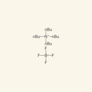 CCCC[N+](CCCC)(CCCC)CCCC.F[B-](F)(F)F